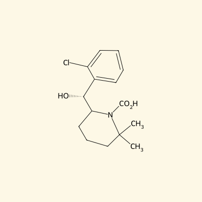 CC1(C)CCCC([C@H](O)c2ccccc2Cl)N1C(=O)O